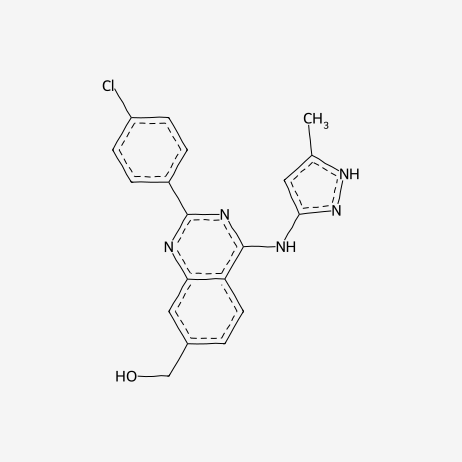 Cc1cc(Nc2nc(-c3ccc(Cl)cc3)nc3cc(CO)ccc23)n[nH]1